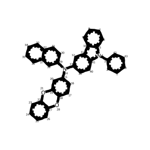 c1ccc(-n2c3ccccc3c3cc(N(c4ccc5c(c4)Oc4ccccc4O5)c4ccc5ccccc5c4)ccc32)cc1